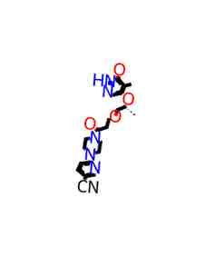 Cc1c(O[C@H](C)COCCC(=O)N2CCN(c3ccc(C#N)cn3)CC2)cn[nH]c1=O